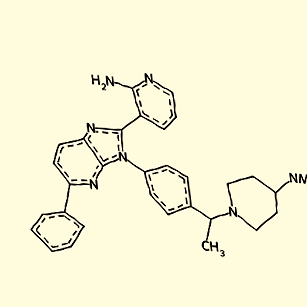 CNC1CCN(C(C)c2ccc(-n3c(-c4cccnc4N)nc4ccc(-c5ccccc5)nc43)cc2)CC1